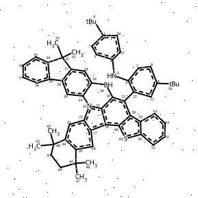 CC(C)(C)c1ccc(Nc2ccc(C(C)(C)C)cc2-c2c3c4c(c5cc6c(cc5n4-c4cc5c(cc4B3)C(C)(C)c3ccccc3-5)C(C)(C)CCC6(C)C)c3sc4ccccc4c23)cc1